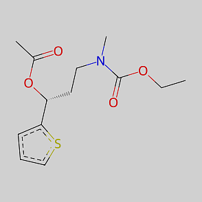 CCOC(=O)N(C)CC[C@@H](OC(C)=O)c1cccs1